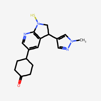 Cn1cc(C2CN(S)c3ncc(C4CCC(=O)CC4)cc32)cn1